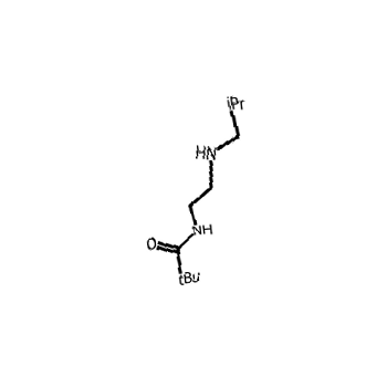 CC(C)CNCCNC(=O)C(C)(C)C